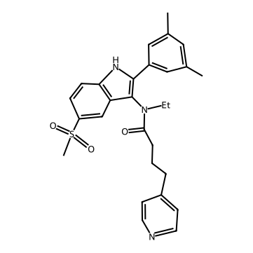 CCN(C(=O)CCCc1ccncc1)c1c(-c2cc(C)cc(C)c2)[nH]c2ccc(S(C)(=O)=O)cc12